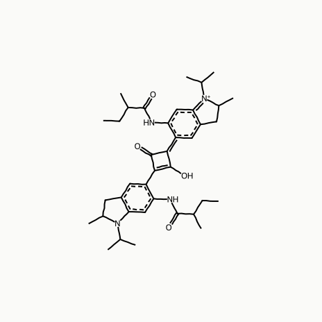 CCC(C)C(=O)Nc1cc2c(cc1C1=C(O)/C(=c3\cc4c(cc3NC(=O)C(C)CC)=[N+](C(C)C)C(C)C4)C1=O)CC(C)N2C(C)C